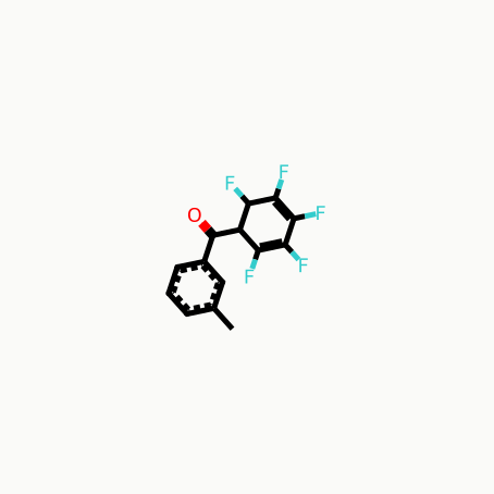 Cc1cccc(C(=O)C2C(F)=C(F)C(F)=C(F)C2F)c1